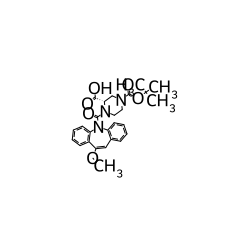 COC1=Cc2ccccc2N(C(=O)N2CCN(C(=O)OC(C)(C)C)C[C@H]2C(=O)O)c2ccccc21